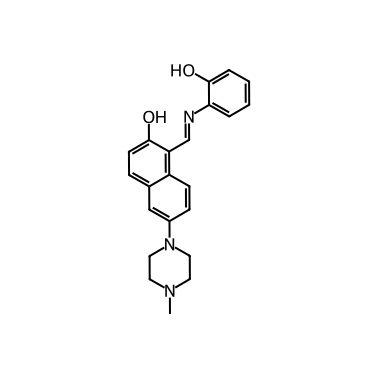 CN1CCN(c2ccc3c(C=Nc4ccccc4O)c(O)ccc3c2)CC1